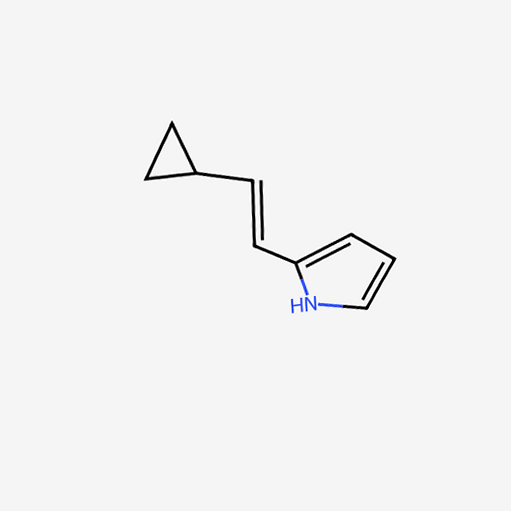 C(=C\C1CC1)/c1ccc[nH]1